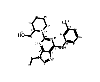 CCn1cnc2c(Nc3cccc(Cl)c3)nc(N3CCCCC3CO)nc21